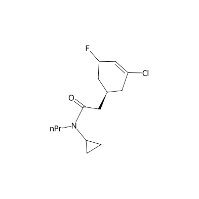 CCCN(C(=O)C[C@@H]1CC(Cl)=CC(F)C1)C1CC1